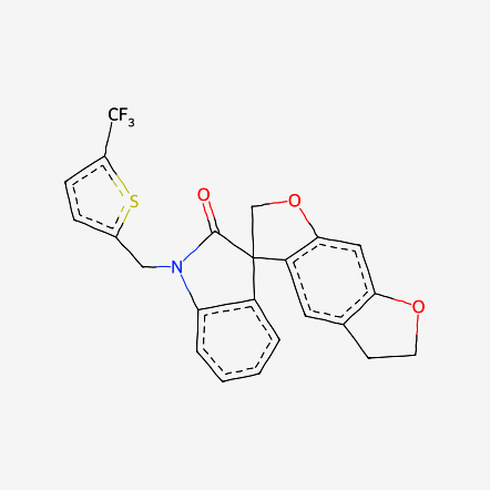 O=C1N(Cc2ccc(C(F)(F)F)s2)c2ccccc2C12COc1cc3c(cc12)CCO3